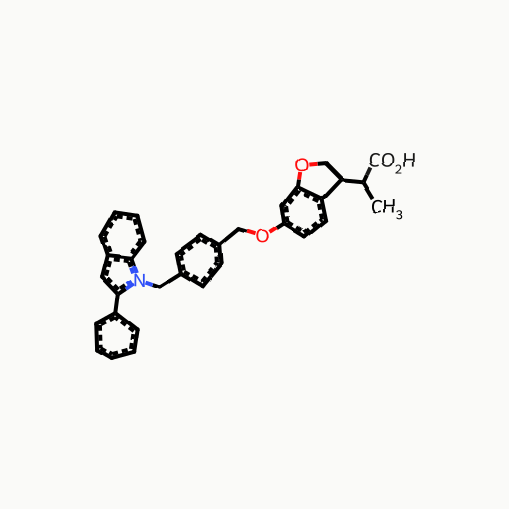 CC(C(=O)O)C1COc2cc(OCc3ccc(Cn4c(-c5ccccc5)cc5ccccc54)cc3)ccc21